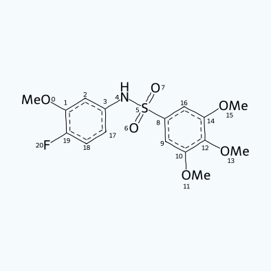 COc1cc(NS(=O)(=O)c2cc(OC)c(OC)c(OC)c2)ccc1F